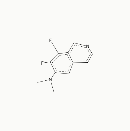 CN(C)c1cc2[c]cncc2c(F)c1F